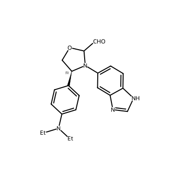 CCN(CC)c1ccc([C@H]2COC(C=O)N2c2ccc3[nH]cnc3c2)cc1